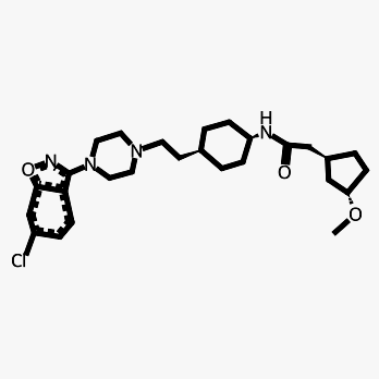 CO[C@H]1CC[C@H](CC(=O)N[C@H]2CC[C@H](CCN3CCN(c4noc5cc(Cl)ccc45)CC3)CC2)C1